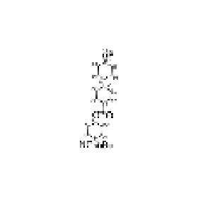 CCCCC1(C#N)CCC(OC(=O)C2CCC(C3CCC(CCC)CC3)CC2)CC1